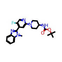 Cn1c(-c2cc(N3CCC(NC(=O)OC(C)(C)C)CC3)ncc2F)nc2ccccc21